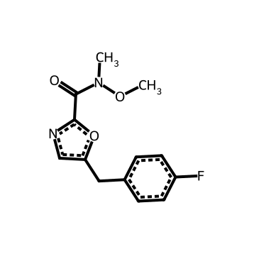 CON(C)C(=O)c1ncc(Cc2ccc(F)cc2)o1